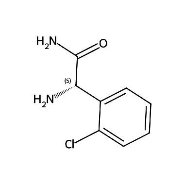 NC(=O)[C@@H](N)c1ccccc1Cl